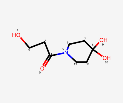 O=C(CCO)N1CCC(O)(O)CC1